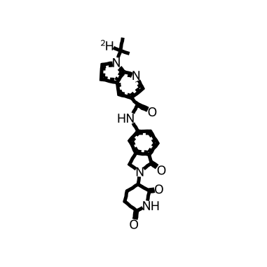 [2H]C(C)(C)n1ccc2cc(C(=O)Nc3ccc4c(c3)CN(C3CCC(=O)NC3=O)C4=O)cnc21